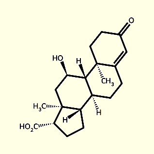 C[C@]12C[C@@H](O)[C@H]3[C@@H](CCC4=CC(=O)CC[C@@]43C)[C@@H]1CC[C@@H]2C(=O)O